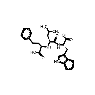 CC(C)C[C@H](NC(CCc1ccccc1)C(=O)O)C(=O)N[C@@H](Cc1c[nH]c2ccccc12)C(=O)O